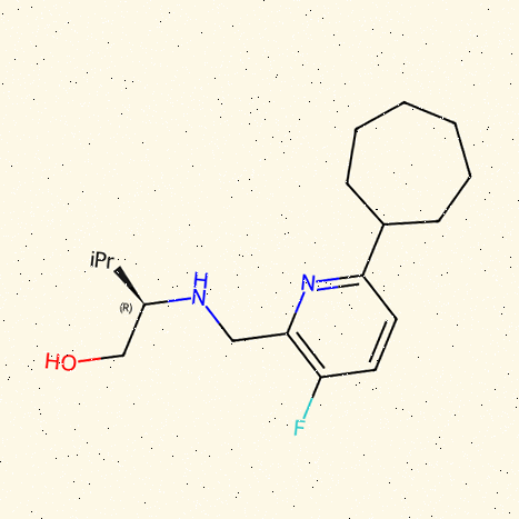 CC(C)[C@H](CO)NCc1nc(C2CCCCCC2)ccc1F